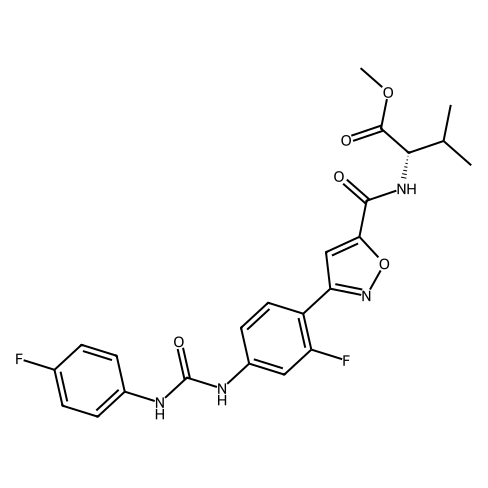 COC(=O)[C@@H](NC(=O)c1cc(-c2ccc(NC(=O)Nc3ccc(F)cc3)cc2F)no1)C(C)C